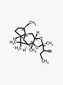 CCC(Br)[C@]1(C)O[C@H]2C[C@@]34C[C@H](C(C)(C)[C@@H]3CC[C@H]4C)[C@@]2(C)O1